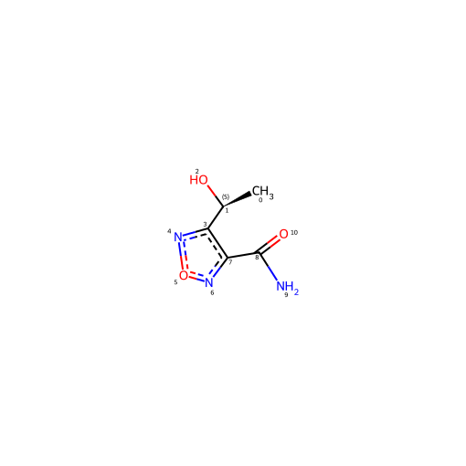 C[C@H](O)c1nonc1C(N)=O